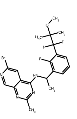 COC(C)(C)C(F)(F)c1cccc(C(C)Nc2nc(C)nc3cnc(Br)cc23)c1F